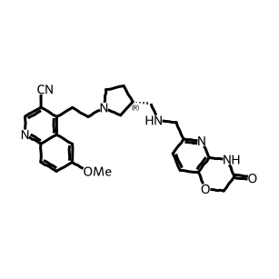 COc1ccc2ncc(C#N)c(CCN3CC[C@H](CNCc4ccc5c(n4)NC(=O)CO5)C3)c2c1